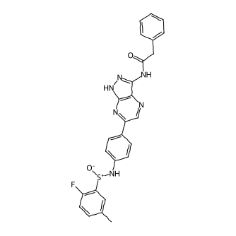 Cc1ccc(F)c([S+]([O-])Nc2ccc(-c3cnc4c(NC(=O)Cc5ccccc5)n[nH]c4n3)cc2)c1